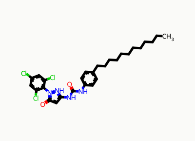 CCCCCCCCCCCCc1ccc(NC(=O)Nc2cc(=O)n(-c3c(Cl)cc(Cl)cc3Cl)[nH]2)cc1